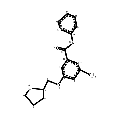 Cc1cc(OCC2CCCO2)cc(C(=O)Nc2ccccn2)n1